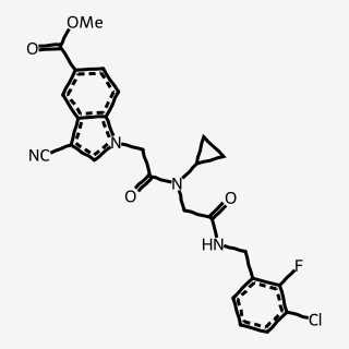 COC(=O)c1ccc2c(c1)c(C#N)cn2CC(=O)N(CC(=O)NCc1cccc(Cl)c1F)C1CC1